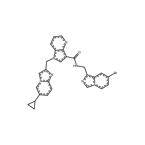 O=C(NCc1ncn2ccc(Br)cc12)c1cn(Cc2cn3cc(C4CC4)ccc3n2)c2cccnc12